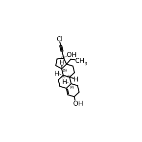 CCC12CC[C@H]3[C@@H](CCC4=CC(O)CC[C@@H]43)[C@@H]1CC[C@@]2(O)C#CCl